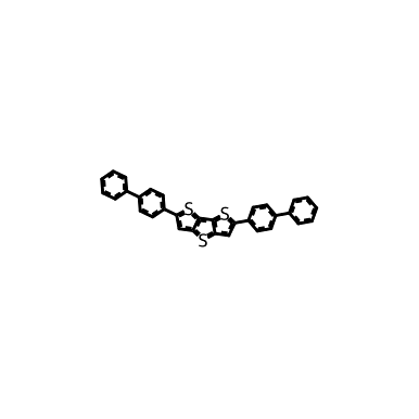 c1ccc(-c2ccc(-c3cc4sc5cc(-c6ccc(-c7ccccc7)cc6)sc5c4s3)cc2)cc1